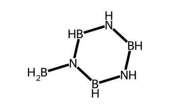 BN1BNBNB1